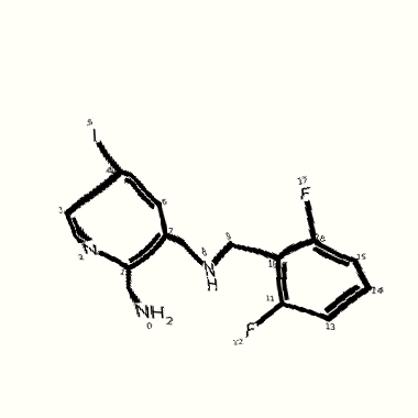 Nc1ncc(I)cc1NCc1c(F)cccc1F